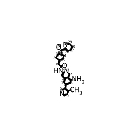 Cc1ccncc1-c1cc(N)c2cnc(NC(=O)C=C3CCN(C(=O)c4ccccn4)CC3)cc2c1